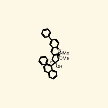 CNCC[C@@](O)(c1cccc2ccccc12)[C@H](c1ccccc1)c1cc2cc(-c3ccccc3)ccc2nc1OC